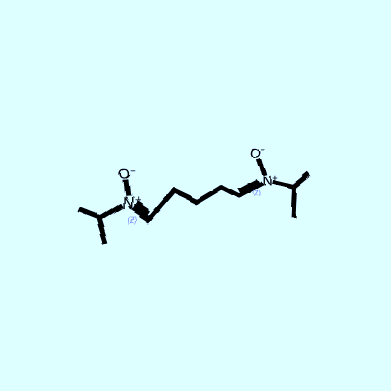 CC(C)/[N+]([O-])=C/CCC/C=[N+](\[O-])C(C)C